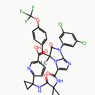 CC1(Cc2ccc(OC(F)(F)F)cc2)C(=O)N(c2cc(Cl)cc(Cl)c2)c2ncc(C(=O)NC3(C(=O)NC4(c5ccc(C(=O)O)cn5)CC4)CC3)n21